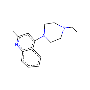 CCN1CCN(c2cc(C)nc3ccccc23)CC1